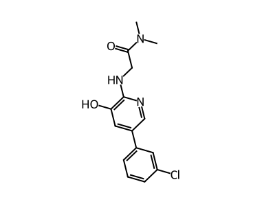 CN(C)C(=O)CNc1ncc(-c2cccc(Cl)c2)cc1O